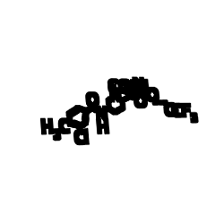 Cc1ccc(C(=O)N[C@H]2CC[C@H](c3nnc(OCCOC(F)(F)F)o3)N(C(=O)O)C2)cc1Cl